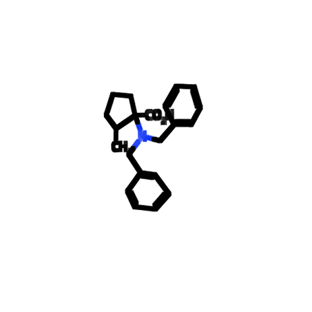 CC1CCCC1(C(=O)O)N(Cc1ccccc1)Cc1ccccc1